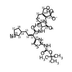 CC(C)(C)OC(=O)Nc1nc(/C(=C/CC2CCCC2)C(=O)N[C@@H]2C(=O)N3C(C(=O)[O-])=C(CO)CS[C@@H]23)cs1.[Na+]